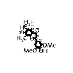 COc1cc(-c2cc(=O)c3c(O)c(C)c(O)c(C)c3o2)cc(OC)c1O